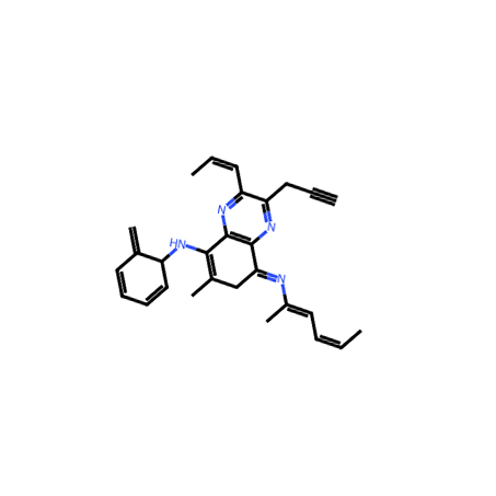 C#CCc1nc2c(nc1/C=C\C)C(NC1C=CC=CC1=C)=C(C)C\C2=N/C(C)=C/C=C\C